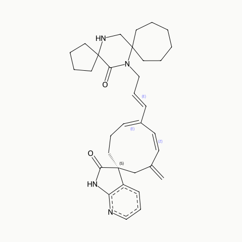 C=C1\C=C/C(/C=C/CN2C(=O)C3(CCCC3)NCC23CCCCCC3)=C\CC[C@@]2(C1)C(=O)Nc1ncccc12